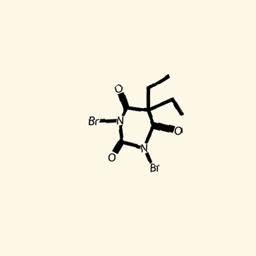 CCC1(CC)C(=O)N(Br)C(=O)N(Br)C1=O